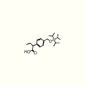 CCC(C(=O)O)c1ccc(CO[Si](C(C)C)(C(C)C)C(C)C)cc1